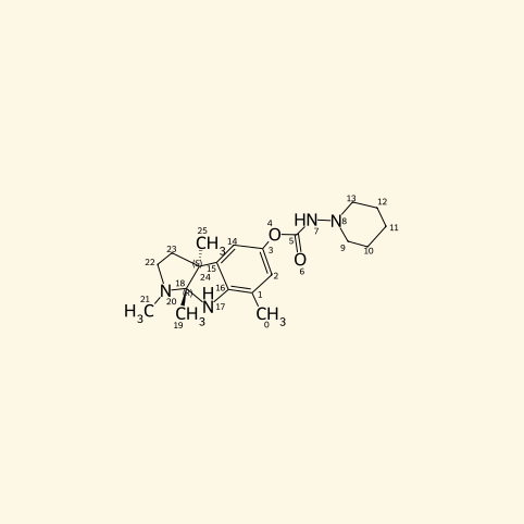 Cc1cc(OC(=O)NN2CCCCC2)cc2c1N[C@]1(C)N(C)CC[C@@]21C